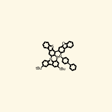 CC(C)(C)c1ccc2c(c1)c1cc(C(C)(C)C)cc3c1n2-c1cc2c(sc4ccccc42)c2c1B3N(c1ccc(-c3ccccc3)cc1)c1cc3c(cc1-2)oc1ccccc13